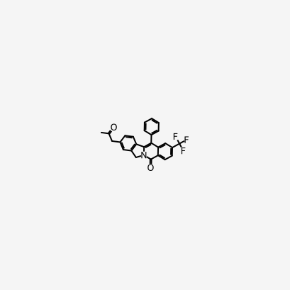 CC(=O)Cc1ccc2c(c1)Cn1c-2c(-c2ccccc2)c2cc(C(F)(F)F)ccc2c1=O